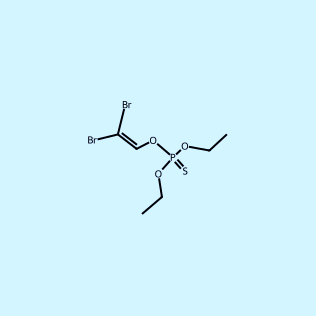 CCOP(=S)(OC=C(Br)Br)OCC